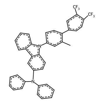 Cc1cc(-n2c3ccccc3c3cc(N(c4ccccc4)c4ccccc4)ccc32)ccc1-c1ccc(C(F)(F)F)c(C(F)(F)F)c1